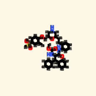 COC(=O)NC(C(=O)Nc1ccccc1CC[C@@H]1CNC[C@@H](COc2ccc(S(C)(=O)=O)cc2C)O1)C(c1ccccc1)c1ccccc1